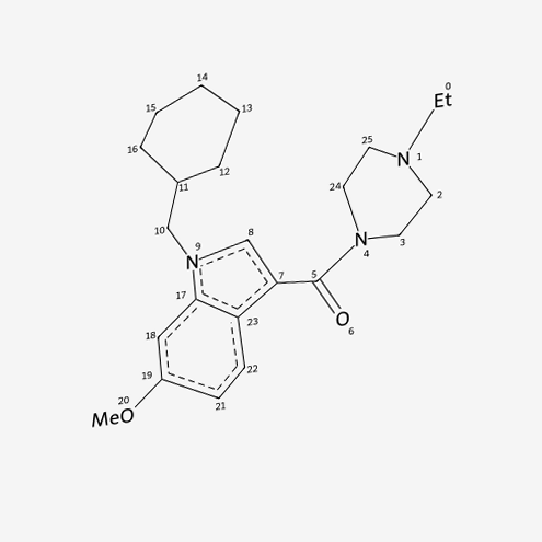 CCN1CCN(C(=O)c2cn(CC3CCCCC3)c3cc(OC)ccc23)CC1